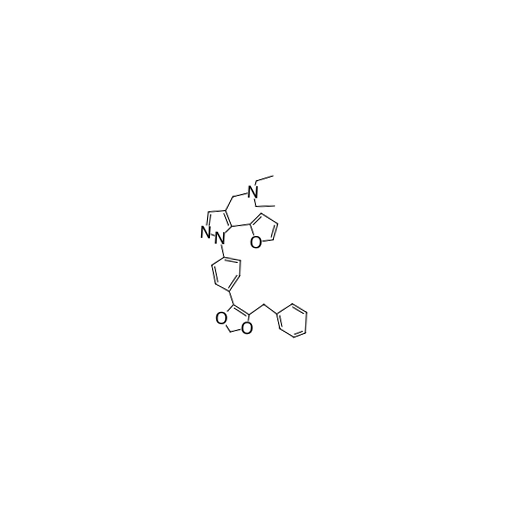 CCN(CC)Cc1cnn(-c2ccc(C3=C(Cc4ccccc4)OCO3)cc2)c1-c1ccco1